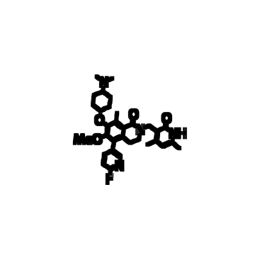 COc1c(O[C@H]2CC[C@H](N(C)C)CC2)c(C)c2c(c1-c1ccc(F)nc1)CCN(Cc1c(C)cc(C)[nH]c1=O)C2=O